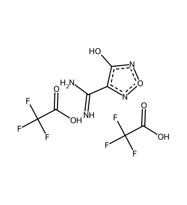 N=C(N)c1nonc1O.O=C(O)C(F)(F)F.O=C(O)C(F)(F)F